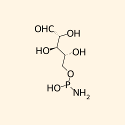 NP(O)OC[C@@H](O)[C@@H](O)[C@@H](O)C=O